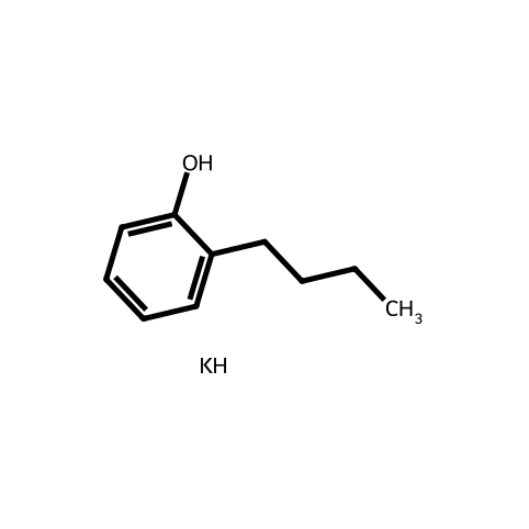 CCCCc1ccccc1O.[KH]